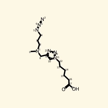 CN(CCCN=[N+]=[N-])Cc1cn(CCCCCC(=O)O)nn1